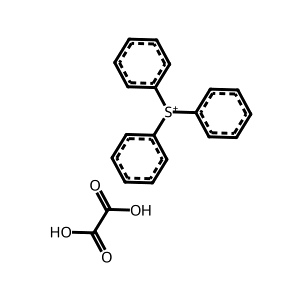 O=C(O)C(=O)O.c1ccc([S+](c2ccccc2)c2ccccc2)cc1